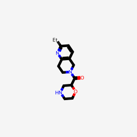 CCc1ccc2c(n1)CCN(C(=O)C1CNCCO1)C2